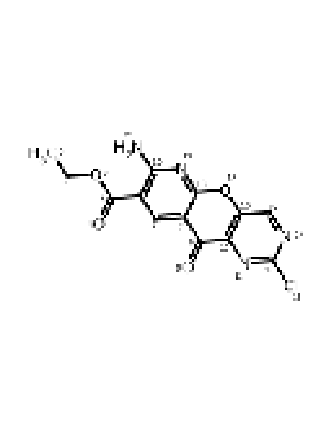 CCOC(=O)c1cc2c(=O)c3nc(Cl)ncc3oc2nc1N